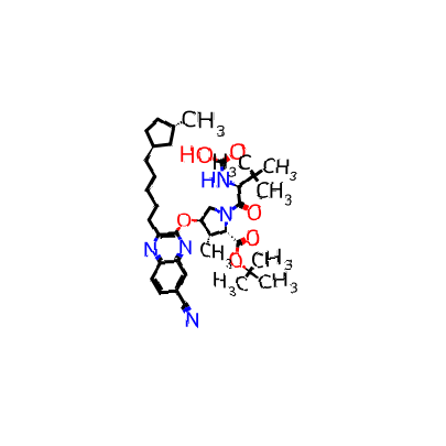 C[C@H]1CC[C@H](CCCCCc2nc3ccc(C#N)cc3nc2O[C@H]2CN(C(=O)[C@@H](NC(=O)O)C(C)(C)C)[C@H](C(=O)OC(C)(C)C)[C@@H]2C)C1